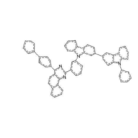 c1ccc(-c2ccc(-c3nc(-c4cccc(-n5c6ccccc6c6ccc(-c7ccc8c(c7)c7ccccc7n8-c7ccccc7)cc65)c4)nc4c3ccc3ccccc34)cc2)cc1